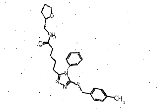 Cc1ccc(CSc2nnc(CCCCC(=O)NCC3CCCO3)n2-c2ccccc2)cc1